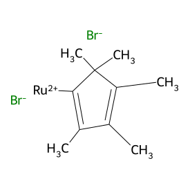 CC1=C(C)C(C)(C)[C]([Ru+2])=C1C.[Br-].[Br-]